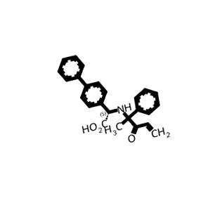 C=CC(=O)C(C)(N[C@H](C(=O)O)c1ccc(-c2ccccc2)cc1)c1ccccc1